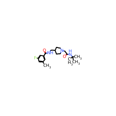 Cc1cc(F)cc(C(=O)NCC2CCN(CC(=O)NC(C)(C)C)CC2)c1